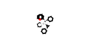 c1ccc([C@@H]2CC[C@@H](c3ccccc3)P2N(C2CC2)P(c2ccccc2)c2ccccc2)cc1